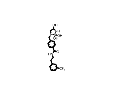 O=C(NCCc1cccc(C(F)(F)F)c1)c1ccc(CN2CC(O)NS2(O)O)cc1